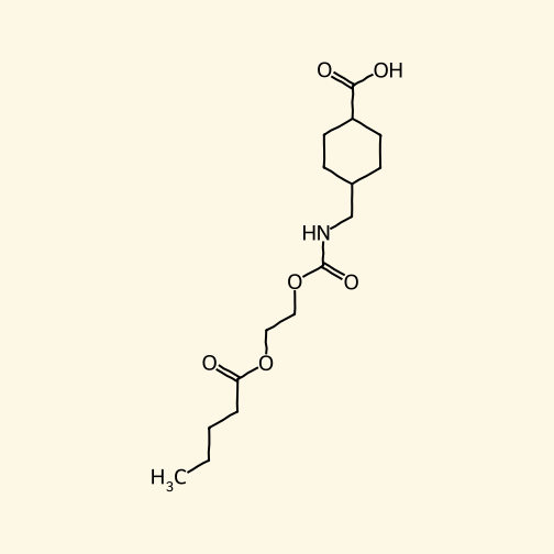 CCCCC(=O)OCCOC(=O)NCC1CCC(C(=O)O)CC1